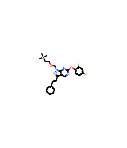 C[Si](C)(C)CCOCn1nc(/C=C/c2ccccc2)c2cnc(Oc3ccc(F)cc3F)nc21